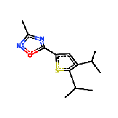 Cc1noc(-c2cc(C(C)C)c(C(C)C)s2)n1